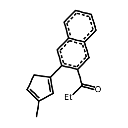 CCC(=O)c1cc2ccccc2cc1C1=CC(C)=CC1